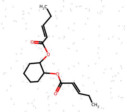 CCC=CC(=O)OC1CCCCC1OC(=O)C=CCC